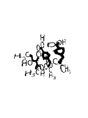 CC(C)Cc1ccc(C(=O)O)cc1.CC(C)Cc1ccc(C(=O)O)cc1.CCC(O)C(CC)C(O)CC